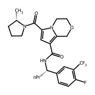 CCC[C@H](NC(=O)c1cc(C(=O)N2CCC[C@@H]2C)n2c1COCC2)c1ccc(F)c(C(F)(F)F)c1